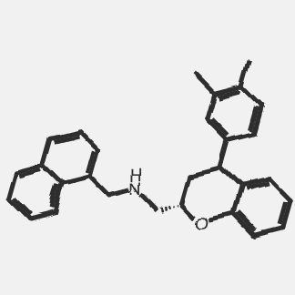 Cc1ccc(C2C[C@@H](CNCc3cccc4ccccc34)Oc3ccccc32)cc1C